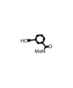 C#Cc1cccc(C(=O)NC)c1